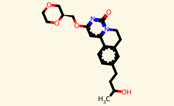 CC(O)CCc1ccc2c(c1)CCn1c-2cc(OC[C@@H]2COCCO2)nc1=O